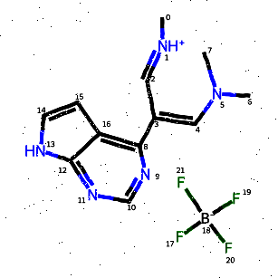 C/[NH+]=C/C(=CN(C)C)c1ncnc2[nH]ccc12.F[B-](F)(F)F